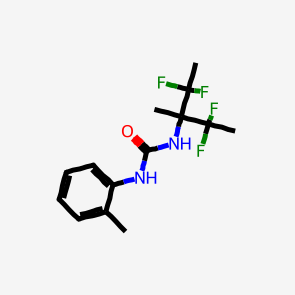 Cc1ccccc1NC(=O)NC(C)(C(C)(F)F)C(C)(F)F